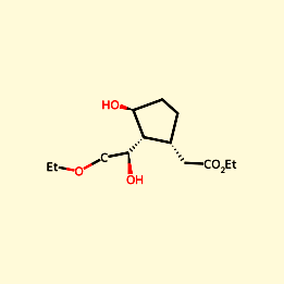 CCOC[C@H](O)[C@H]1[C@@H](CC(=O)OCC)CC[C@@H]1O